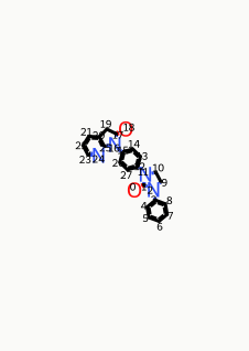 O=C1N(c2ccccc2)CCN1c1ccc(N2C(=O)Cc3cccnc32)cc1